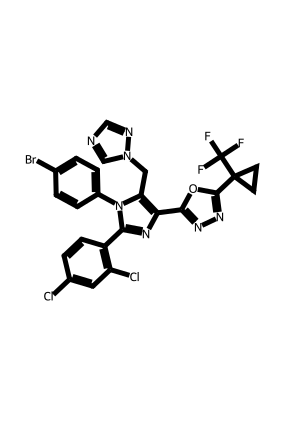 FC(F)(F)C1(c2nnc(-c3nc(-c4ccc(Cl)cc4Cl)n(-c4ccc(Br)cc4)c3Cn3cncn3)o2)CC1